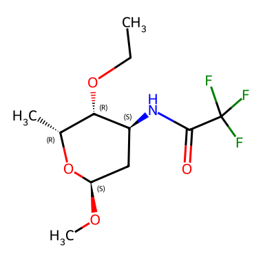 CCO[C@@H]1[C@@H](NC(=O)C(F)(F)F)C[C@@H](OC)O[C@@H]1C